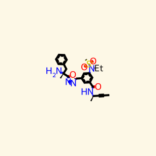 CC#C[C@@H](C)NC(=O)c1cc(-c2nnc([C@](C)(N)Cc3ccccc3)o2)cc(N(CC)S(C)(=O)=O)c1